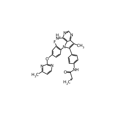 C=CC(=O)Nc1ccc(-c2c(C)c3ncnc(N)c3n2-c2ccc(Oc3nccc(C)n3)cc2F)cc1